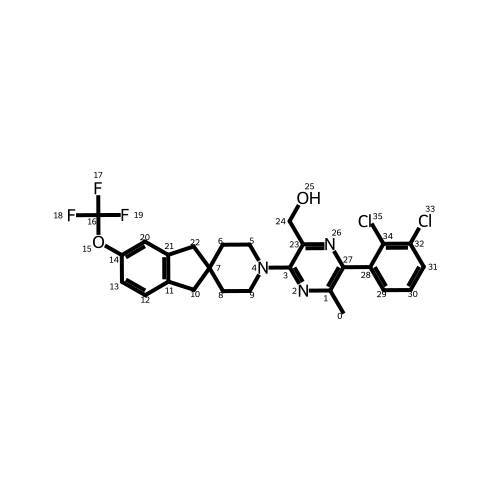 Cc1nc(N2CCC3(CC2)Cc2ccc(OC(F)(F)F)cc2C3)c(CO)nc1-c1cccc(Cl)c1Cl